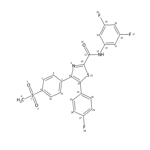 CS(=O)(=O)c1ccc(-c2nc(C(=O)Nc3cc(F)cc(F)c3)sc2-c2ccc(F)cc2)cc1